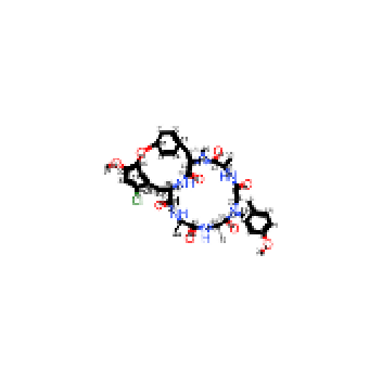 COc1ccc(C[C@H]2C(=O)NC(C)C(=O)N(C)[C@H]3CC4=CCC(C=C4)Oc4cc(c(Cl)cc4OC)C[C@H](NC3=O)C(=O)N[C@H](C)C(=O)N[C@@H](C)C(=O)N2C)cc1